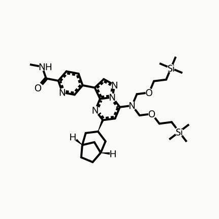 CNC(=O)c1ccc(-c2cnn3c(N(COCC[Si](C)(C)C)COCC[Si](C)(C)C)cc([C@H]4C[C@@H]5CC[C@@H](C5)C4)nc23)cn1